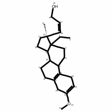 CCC12CCC3C4=C(CCC3C1CC[C@@]2(C)/C=C\CO)CC(OC)=CC4